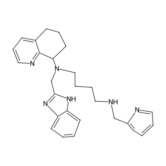 c1ccc(CNCCCCN(Cc2nc3ccccc3[nH]2)C2CCCc3cccnc32)nc1